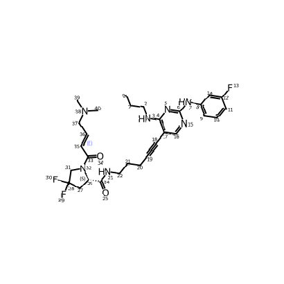 CCCNc1nc(Nc2cccc(F)c2)ncc1C#CCCCNC(=O)[C@@H]1CC(F)(F)CN1C(=O)/C=C/CN(C)C